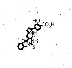 O=C1NC(=S)N(Cc2ccccc2)C(=O)/C1=C/c1ccc(-c2ccc(C(=O)O)c(O)c2)[nH]1